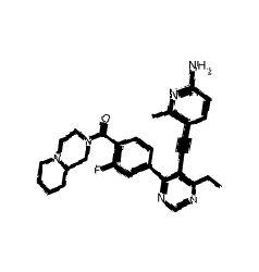 CCc1ncnc(-c2ccc(C(=O)N3CCN4CCCCC4C3)c(F)c2)c1C#Cc1ccc(N)nc1C